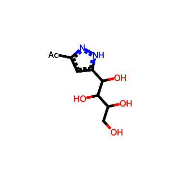 CC(=O)c1cc(C(O)C(O)C(O)CO)[nH]n1